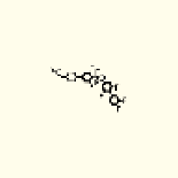 CCOCC1CC=C(c2cc(F)c(C(F)(F)Oc3cc(F)c(-c4ccc(F)c(F)c4)c(F)c3)c(F)c2)CC1